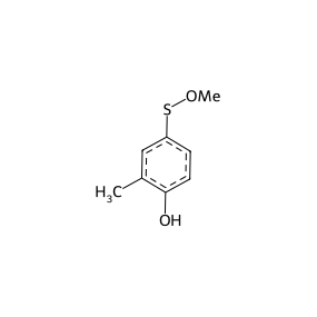 COSc1ccc(O)c(C)c1